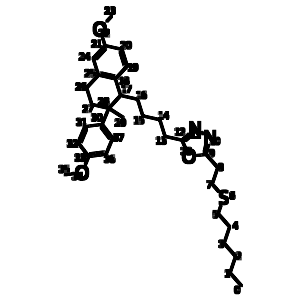 CCCCCCSCCc1nnc(CCCCC2c3ccc(OC)cc3CCC2(C)c2ccc(OC)cc2)o1